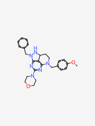 COc1ccc(CN2CCC3NN(Cc4ccccc4)c4nc(N5CCOCC5)nc2c43)cc1